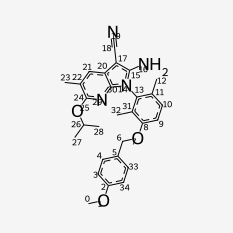 COc1ccc(COc2ccc(C)c(-n3c(N)c(C#N)c4cc(C)c(OC(C)C)nc43)c2C)cc1